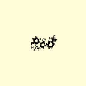 CC[C@H]1CN(c2cccc(C(F)(F)F)c2)C(=O)[C@H]1c1cccc(F)c1